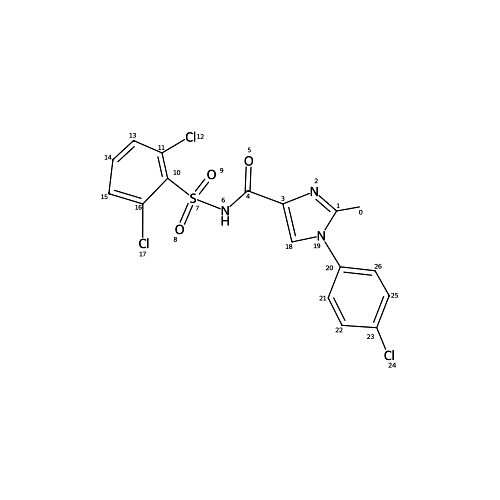 Cc1nc(C(=O)NS(=O)(=O)c2c(Cl)cccc2Cl)cn1-c1ccc(Cl)cc1